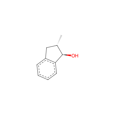 C[C@H]1Cc2ccccc2[C@@H]1O